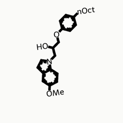 CCCCCCCCc1ccc(OCC(O)Cn2ccc3cc(OC)ccc32)cc1